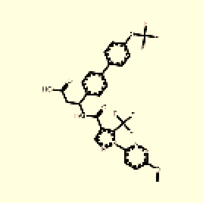 COc1ccc(-n2ncc(C(=O)[AsH]C(CC(=O)O)c3ccc(-c4ccc(OC(F)(F)F)cc4)cc3)c2C(F)(F)F)nn1